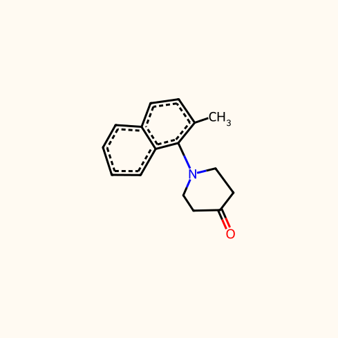 Cc1ccc2ccccc2c1N1CCC(=O)CC1